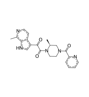 Cc1nccc2c(C(=O)C(=O)N3CCN(C(=O)c4ccccn4)C[C@@H]3C)c[nH]c12